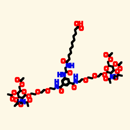 CC(=O)N[C@@H]1C(OCCOCCOCCNC(=O)c2cc(NC(=O)CNC(=O)CCCCCCCCCCC(=O)O)cc(C(=O)NCCOCCOCCOC3O[C@H](COC(C)=O)[C@H](OC(C)=O)[C@H](OC(C)=O)[C@H]3NC(C)=O)c2)O[C@@H](COC(C)=O)[C@@H](OC(C)=O)[C@H]1OC(C)=O